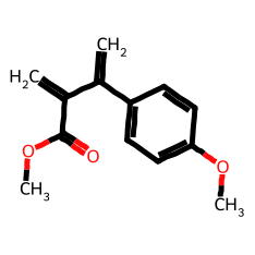 C=C(C(=C)c1ccc(OC)cc1)C(=O)OC